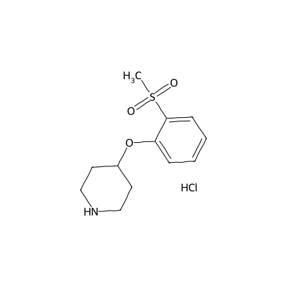 CS(=O)(=O)c1ccccc1OC1CCNCC1.Cl